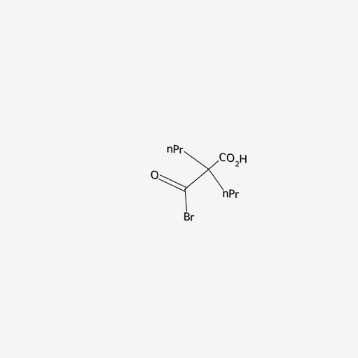 CCCC(CCC)(C(=O)O)C(=O)Br